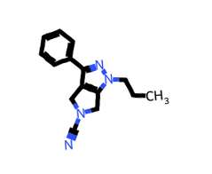 CCCn1nc(-c2ccccc2)c2c1CN(C#N)C2